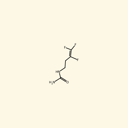 NC(=O)NCCC(F)=C(F)F